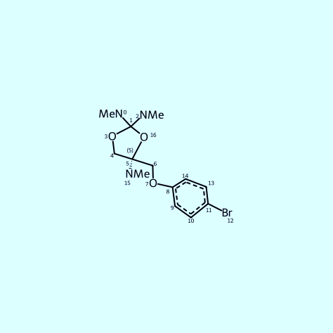 CNC1(NC)OC[C@@](COc2ccc(Br)cc2)(NC)O1